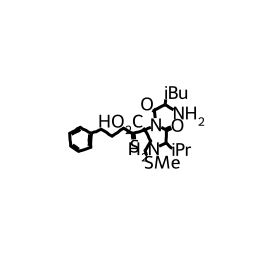 CCC(C)C(N)C(=O)N(C(=O)C(N)C(C)C)C(CCSC)(C(=O)O)C(=S)CCCc1ccccc1